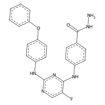 NNC(=O)c1ccc(Nc2nc(Nc3ccc(Oc4ccccc4)cc3)ncc2F)cc1